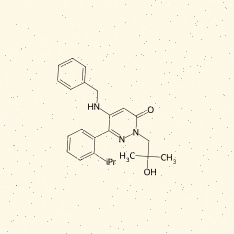 CC(C)c1ccccc1-c1nn(CC(C)(C)O)c(=O)cc1NCc1ccccc1